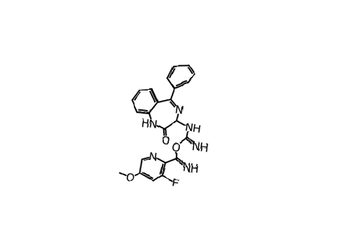 COc1cnc(C(=N)OC(=N)NC2N=C(c3ccccc3)c3ccccc3NC2=O)c(F)c1